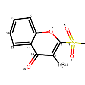 CCCCc1c(S(C)(=O)=O)oc2ccccc2c1=O